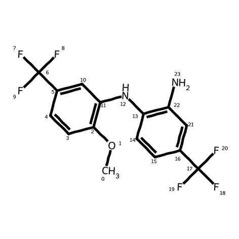 COc1ccc(C(F)(F)F)cc1Nc1ccc(C(F)(F)F)cc1N